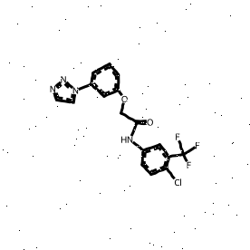 O=C(COc1cccc(-n2ccnn2)c1)Nc1ccc(Cl)c(C(F)(F)F)c1